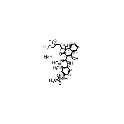 CC[C@H](C)CCC1(C)C(=O)C(C2=NS(O)(O)c3cc(NS(C)(=O)=O)ccc3N2)=C(O)c2ccccc21.[NaH]